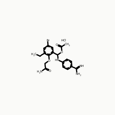 CCc1cc(Br)cc(C(Nc2ccc(C(=N)N)cc2)OC(C)=O)c1OCC(N)=O.Cl